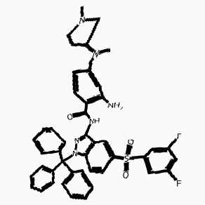 CN1CCC(N(C)c2ccc(C(=O)Nc3nn(C(c4ccccc4)(c4ccccc4)c4ccccc4)c4ccc(S(=O)(=O)c5cc(F)cc(F)c5)cc34)c(N)c2)C1